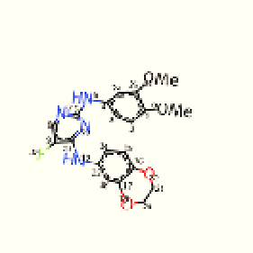 COc1ccc(Nc2ncc(F)c(Nc3ccc4c(c3)OCCO4)n2)cc1OC